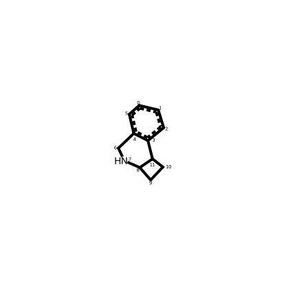 c1ccc2c(c1)CNC1CCC21